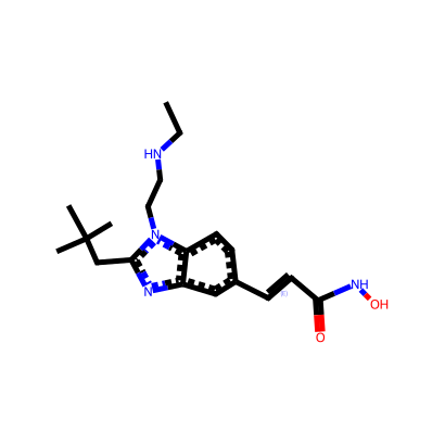 CCNCCn1c(CC(C)(C)C)nc2cc(/C=C/C(=O)NO)ccc21